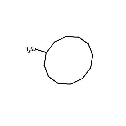 [SbH2][CH]1CCCCCCCCCCC1